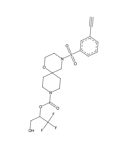 C#Cc1cccc(S(=O)(=O)N2CCOC3(CCN(C(=O)OC(CO)C(F)(F)F)CC3)C2)c1